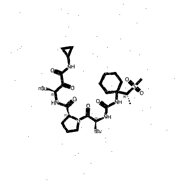 CCCC[C@H](NC(=O)[C@@H]1CCCN1C(=O)[C@@H](NC(=O)NC1([C@@H](C)S(C)(=O)=O)CCCCC1)C(C)(C)C)C(=O)C(=O)NC1CC1